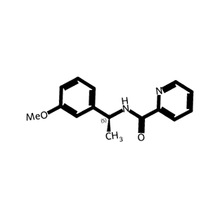 COc1cccc([C@H](C)NC(=O)c2ccccn2)c1